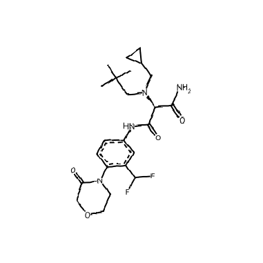 CC(C)(C)CN(CC1CC1)[C@@H](C(N)=O)C(=O)Nc1ccc(N2CCOCC2=O)c(C(F)F)c1